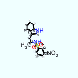 CC(Cc1c[nH]c2ccccc12)NS(=O)(=O)c1cccc([N+](=O)[O-])c1